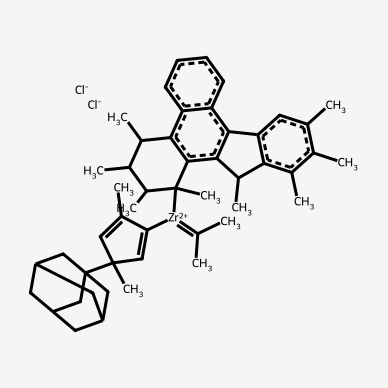 CC1=CC(C)(C23CC4CC(CC(C4)C2)C3)C=[C]1[Zr+2](=[C](C)C)[C]1(C)c2c3c(c4ccccc4c2C(C)C(C)C1C)-c1cc(C)c(C)c(C)c1C3C.[Cl-].[Cl-]